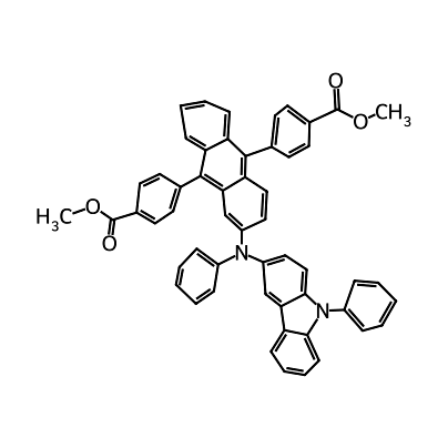 COC(=O)c1ccc(-c2c3ccccc3c(-c3ccc(C(=O)OC)cc3)c3cc(N(c4ccccc4)c4ccc5c(c4)c4ccccc4n5-c4ccccc4)ccc23)cc1